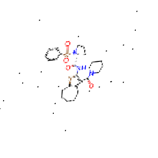 O=C(Nc1sc2c(c1C(=O)N1CCCCC1)CCCCC2)[C@H]1CCCN1S(=O)(=O)c1ccccc1